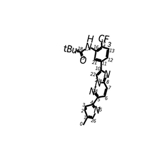 Cc1ccc(-c2ccc3nc(-c4ccc(C(F)(F)F)c(NC(=O)C(C)(C)C)c4)cn3n2)nc1